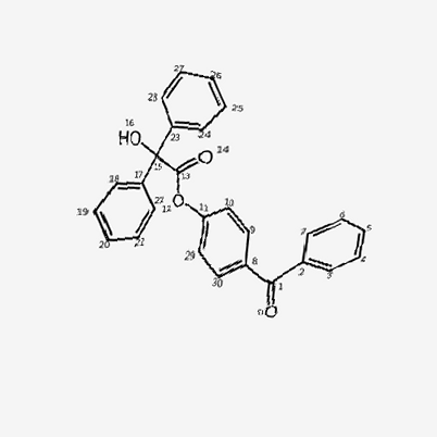 O=C(c1ccccc1)c1ccc(OC(=O)C(O)(c2ccccc2)c2ccccc2)cc1